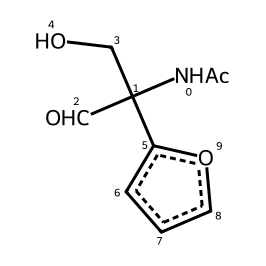 CC(=O)NC(C=O)(CO)c1ccco1